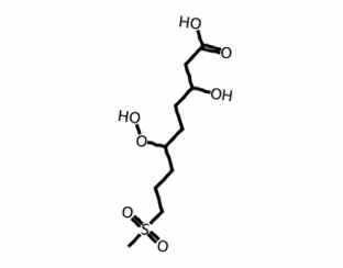 CS(=O)(=O)CCCC(CCC(O)CC(=O)O)OO